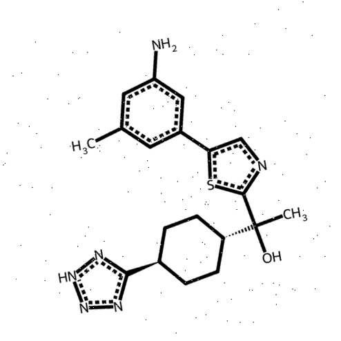 Cc1cc(N)cc(-c2cnc(C(C)(O)[C@H]3CC[C@H](c4nn[nH]n4)CC3)s2)c1